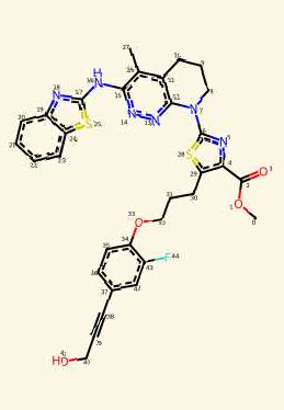 COC(=O)c1nc(N2CCCc3c2nnc(Nc2nc4ccccc4s2)c3C)sc1CCCOc1ccc(C#CCO)cc1F